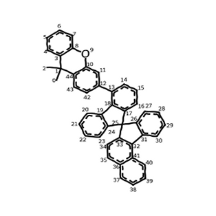 CC1(C)c2ccccc2Oc2cc(-c3cccc4c3-c3ccccc3C43c4ccccc4-c4c3ccc3ccccc43)ccc21